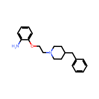 Nc1ccccc1OCCN1CCC(Cc2ccccc2)CC1